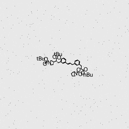 CCCCOC(=O)C(Cc1cccc(C/C=C/c2cccc(C[C@H](C(=O)OC(C)(C)C)[C@H]3CCN(C(=O)OC(C)(C)C)C3)c2)c1)OC(=O)N1CCCC1